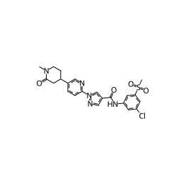 CN1CCC(c2ccc(-n3cc(C(=O)Nc4cc(Cl)cc(S(C)(=O)=O)c4)cn3)nc2)CC1=O